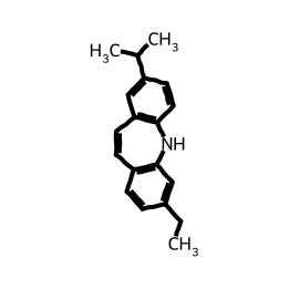 CCc1ccc2c(c1)Nc1ccc(C(C)C)cc1C=C2